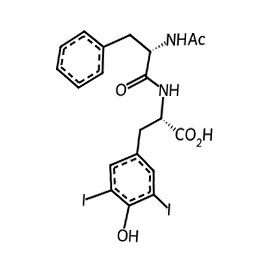 CC(=O)N[C@@H](Cc1ccccc1)C(=O)N[C@@H](Cc1cc(I)c(O)c(I)c1)C(=O)O